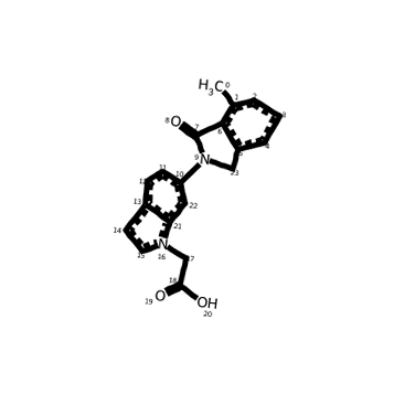 Cc1cccc2c1C(=O)N(c1ccc3ccn(CC(=O)O)c3c1)C2